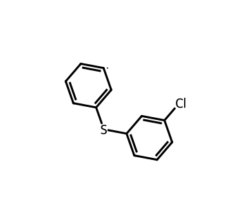 Clc1cccc(Sc2c[c]ccc2)c1